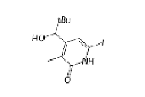 Cc1c(C(O)C(C)(C)C)cc(I)[nH]c1=O